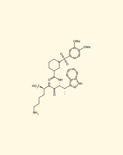 COc1ccc(S(=O)(=O)N2CCCC(C(=O)N[C@@H](C(=O)N[C@@H](CCCCN)C(=O)O)[C@@H](C)c3c[nH]c4ccccc34)C2)cc1OC